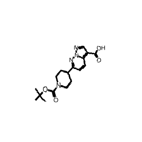 CC(C)(C)OC(=O)N1CCC(c2ccc3c(C(=O)O)cnn3n2)CC1